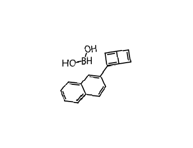 OBO.c1ccc2cc(-c3cc4ccc3-4)ccc2c1